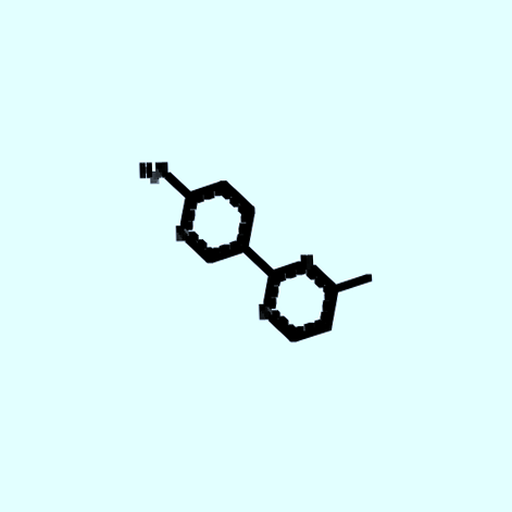 Cc1ccnc(-c2ccc(N)nc2)n1